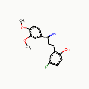 COc1ccc(C(=N)CCc2cc(F)ccc2O)cc1OC